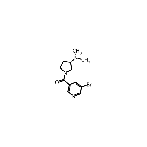 CN(C)[C@@H]1CCN(C(=O)c2cncc(Br)c2)C1